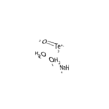 O.O.O=[Te+].[NaH]